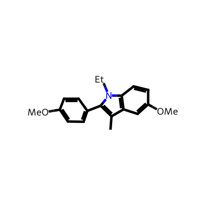 CCn1c(-c2ccc(OC)cc2)c(C)c2cc(OC)ccc21